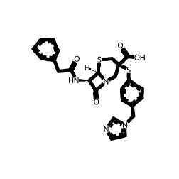 O=C(Cc1ccccc1)N[C@@H]1C(=O)N2CC(Sc3ccc(Cn4ccnc4)cc3)(C(=O)O)CS[C@H]12